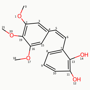 COc1cc(/C=C\c2cccc(O)c2O)cc(OC)c1OC